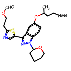 CNCCC(C)Oc1ccc2c(c1)c(-c1cnc(CCOC=O)s1)nn2C1CCCCO1